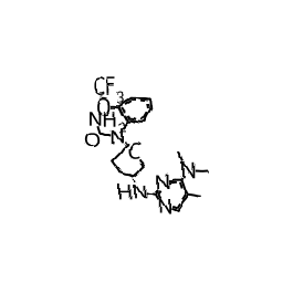 Cc1cnc(N[C@H]2CC[C@@H](N(C(N)=O)c3ccccc3OC(F)(F)F)CC2)nc1N(C)C